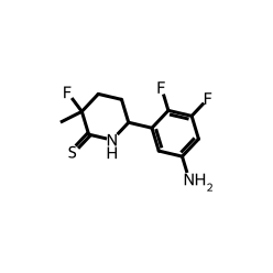 CC1(F)CCC(c2cc(N)cc(F)c2F)NC1=S